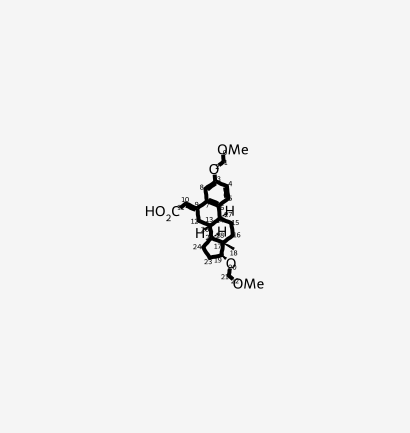 COCOc1ccc2c(c1)C(=CC(=O)O)C[C@@H]1[C@@H]2CC[C@]2(C)[C@@H](OCOC)CC[C@@H]12